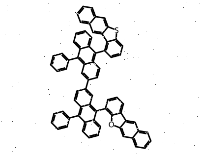 c1ccc(-c2c3ccccc3c(-c3cccc4c3oc3cc5ccccc5cc34)c3cc(-c4ccc5c(-c6cccc7sc8cc9ccccc9cc8c67)c6ccccc6c(-c6ccccc6)c5c4)ccc23)cc1